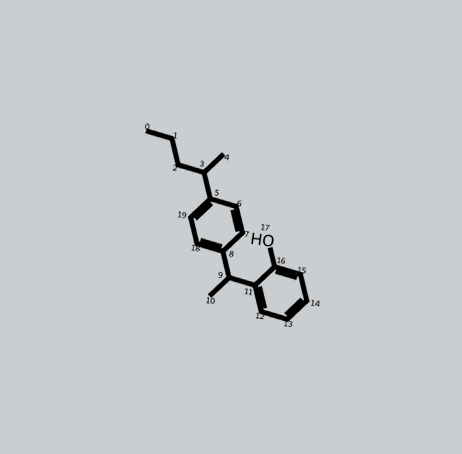 CCCC(C)c1ccc(C(C)c2ccccc2O)cc1